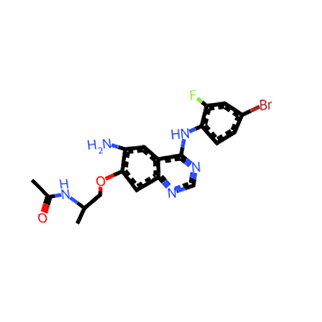 CC(=O)NC(C)COc1cc2ncnc(Nc3ccc(Br)cc3F)c2cc1N